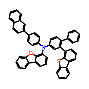 c1ccc(-c2ccc(N(c3ccc(-c4ccc5ccccc5c4)cc3)c3cccc4c3oc3ccccc34)cc2-c2cccc3c2sc2ccccc23)cc1